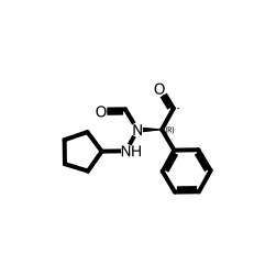 O=[C][C@@H](c1ccccc1)N(C=O)NC1CCCC1